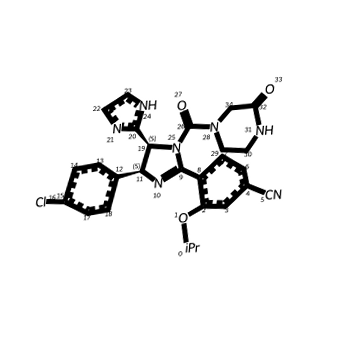 CC(C)Oc1cc(C#N)ccc1C1=N[C@@H](c2ccc(Cl)cc2)[C@@H](c2ncc[nH]2)N1C(=O)N1CCNC(=O)C1